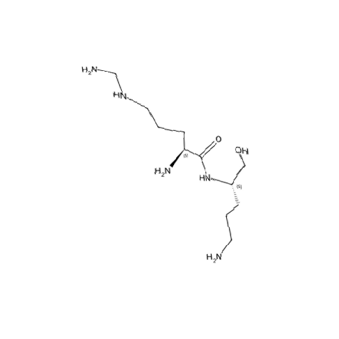 NCCC[C@@H](CO)NC(=O)[C@@H](N)CCCNCN